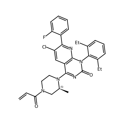 C=CC(=O)N1CCN(c2nc(=O)n(-c3c(CC)cccc3CC)c3nc(-c4ccccc4F)c(Cl)cc23)[C@@H](C)C1